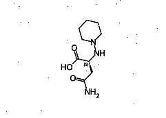 NC(=O)C[C@H](NN1CCCCC1)C(=O)O